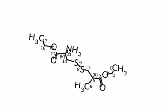 CCOC(=O)[C@@H](C)CSSC[C@H](N)C(=O)OCC